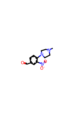 CN1CCN(c2ccc(C=O)cc2[N+](=O)[O-])CC1